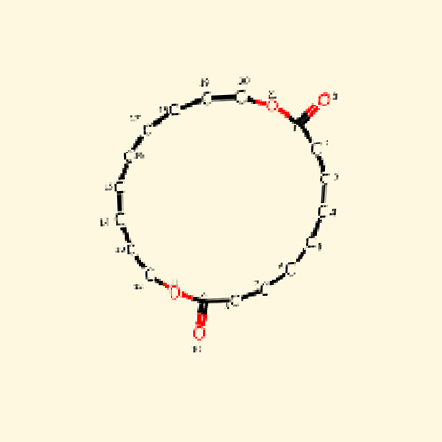 O=C1CCCCCCCC(=O)OCCCCCCCCCO1